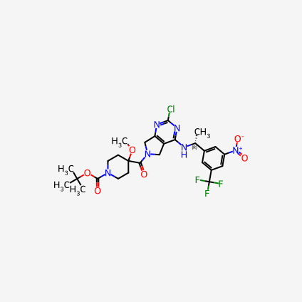 COC1(C(=O)N2Cc3nc(Cl)nc(N[C@H](C)c4cc([N+](=O)[O-])cc(C(F)(F)F)c4)c3C2)CCN(C(=O)OC(C)(C)C)CC1